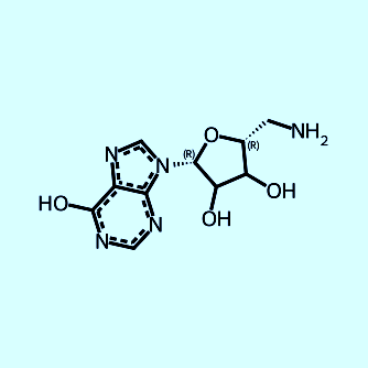 NC[C@H]1O[C@@H](n2cnc3c(O)ncnc32)C(O)C1O